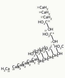 O=C(O)O.O=C(O)O.O=C(O)O.O=C(O)O.O=C(O)O.O=C(O)O.O=C(O)O.[CaH2].[CaH2].[CaH2].[CaH2].[CaH2].[CaH2].[CaH2].[CaH2].[CaH2]